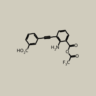 Nc1c(C#Cc2cccc(C(=O)O)c2)cccc1C(=O)OC(=O)C(F)(F)F